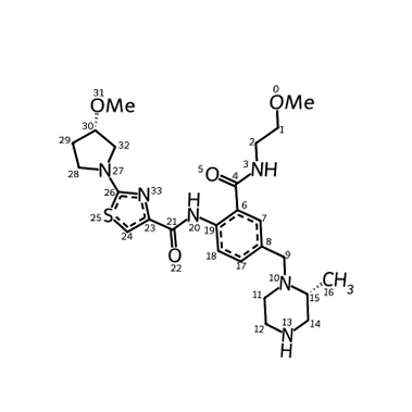 COCCNC(=O)c1cc(CN2CCNC[C@H]2C)ccc1NC(=O)c1csc(N2CC[C@H](OC)C2)n1